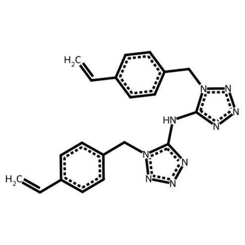 C=Cc1ccc(Cn2nnnc2Nc2nnnn2Cc2ccc(C=C)cc2)cc1